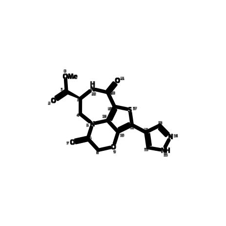 COC(=O)[C@@H]1CN2C(=O)COc3c(-c4cn[nH]c4)sc(c32)C(=O)N1